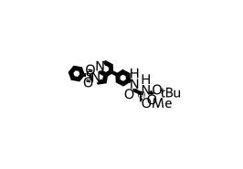 COC[C@H](NC(=O)OC(C)(C)C)C(=O)Nc1ccc(-c2ccnc3c2ccn3S(=O)(=O)c2ccccc2)cc1